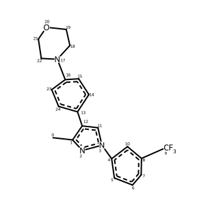 Cc1nn(-c2cccc(C(F)(F)F)c2)cc1-c1ccc(N2CCOCC2)cc1